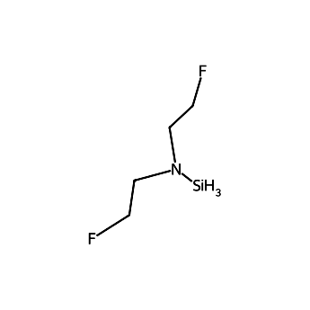 FCCN([SiH3])CCF